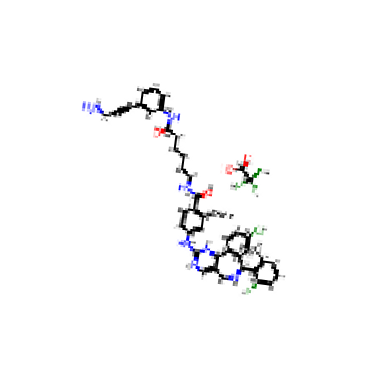 COc1cc(Nc2ncc3c(n2)-c2ccc(Cl)cc2C(c2c(F)cccc2OC)=NC3)ccc1C(=O)NCCCCCC(=O)Nc1cccc(C#CCN)c1.O=C(O)C(F)(F)F